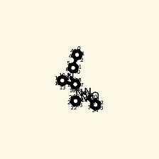 c1ccc(-c2ccc(-n3c4ccccc4c4cc(-n5c6ccccc6n6c7c(nc56)oc5ccccc57)ccc43)cc2)cc1